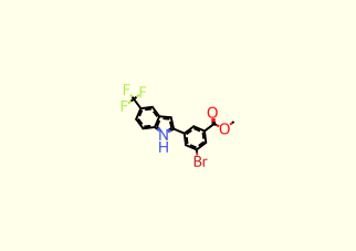 COC(=O)c1cc(Br)cc(-c2cc3cc(C(F)(F)F)ccc3[nH]2)c1